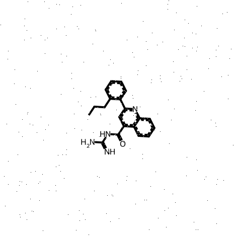 CCCc1ccccc1-c1cc(C(=O)NC(=N)N)c2ccccc2n1